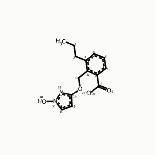 CCCc1cccc(C(=O)Cl)c1COc1ccn(O)n1